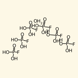 O.O=P(O)(O)F.O=P(O)(O)F.O=P(O)(O)F.O=P(O)(O)F.O=P(O)(O)F.O=P(O)(O)F